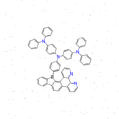 c1ccc(N(c2ccccc2)c2ccc(N(c3ccc(B4c5ccccc5-c5ccc6c7cccnc7c7ncccc7c6c54)cc3)c3ccc(N(c4ccccc4)c4ccccc4)cc3)cc2)cc1